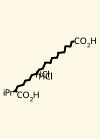 CC(C)C(CCCCCCCCCCCCCCCCCC(=O)O)C(=O)O.Cl.Cl